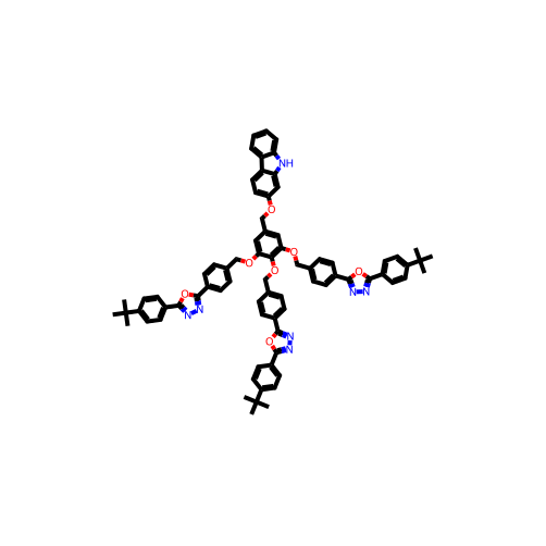 CC(C)(C)c1ccc(-c2nnc(-c3ccc(COc4cc(COc5ccc6c(c5)[nH]c5ccccc56)cc(OCc5ccc(-c6nnc(-c7ccc(C(C)(C)C)cc7)o6)cc5)c4OCc4ccc(-c5nnc(-c6ccc(C(C)(C)C)cc6)o5)cc4)cc3)o2)cc1